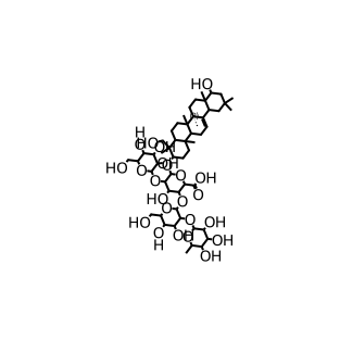 CC1OC(OC2C(OC3C(C(=O)O)OC(OC4CCC5(C)C(CCC6(C)C5CC=C5C7CC(C)(C)CC(O)C7(C)CC[C@@]56C)C4(C)CO)C(OC4OC(CO)C(O)C(O)C4O)C3O)OC(CO)C(O)C2O)C(O)C(O)C1O